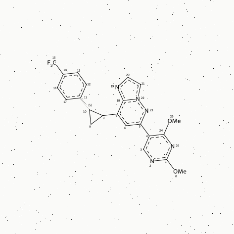 COc1ncc(-c2cc(C3C[C@@H]3c3ccc(C(F)(F)F)cc3)c3nccn3n2)c(OC)n1